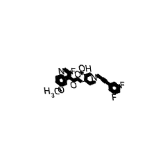 COc1ccc2ncc(F)c(C(=O)CC[C@H]3CCN(CC#Cc4cc(F)cc(F)c4)C[C@H]3C(=O)O)c2c1